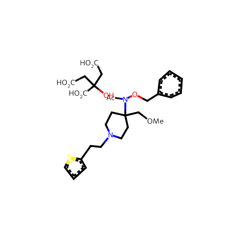 COCC1(N(OCc2ccccc2)C(C)=O)CCN(CCc2cccs2)CC1.O=C(O)CC(O)(CC(=O)O)C(=O)O